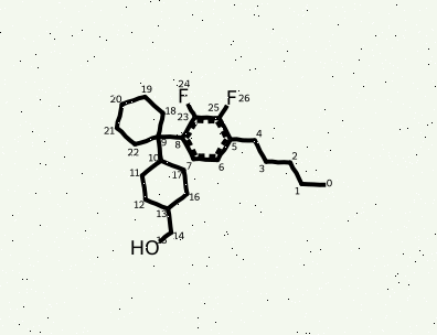 CCCCCc1ccc(C2(C3CCC(CO)CC3)CCCCC2)c(F)c1F